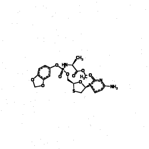 COC(=O)[C@H](C)N[P@](=O)(OC[C@H]1O[C@@H](n2ccc(N)nc2=O)CS1)Oc1ccc2c(c1)OCO2